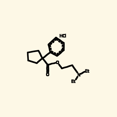 CCN(CC)CCOC(=O)C1(c2ccccc2)CCCC1.Cl